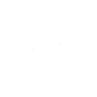 CCOc1cc(C(=O)CCN(C)C)cc(OC)n1